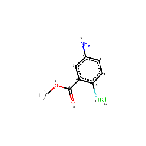 COC(=O)c1cc(N)ccc1F.Cl